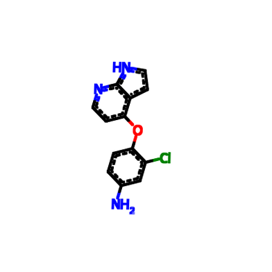 Nc1ccc(Oc2ccnc3[nH]ccc23)c(Cl)c1